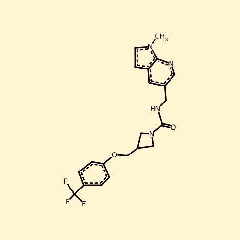 Cn1ccc2cc(CNC(=O)N3CC(COc4ccc(C(F)(F)F)cc4)C3)cnc21